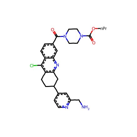 CCCOC(=O)N1CCN(C(=O)c2ccc3c(Cl)c4c(nc3c2)CC(c2ccnc(CN)c2)CC4)CC1